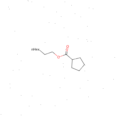 CCCCCCCCOC(=O)C1CCCC1